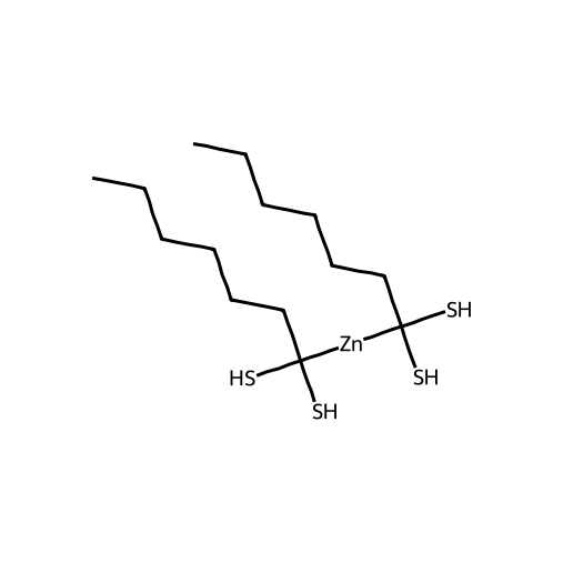 CCCCCC[C](S)(S)[Zn][C](S)(S)CCCCCC